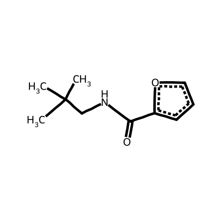 CC(C)(C)CNC(=O)c1ccco1